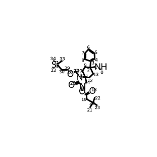 CNC1(c2ccccc2)CCC2(CC1)CN(OC(=O)CC(C)(C)C)C(=O)N2COCC[Si](C)(C)C